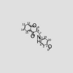 COc1ccc(NCc2coc3ccccc3c2=O)cc1